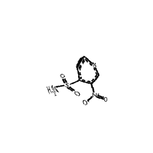 NS(=O)(=O)c1ccncc1[N+](=O)[O-]